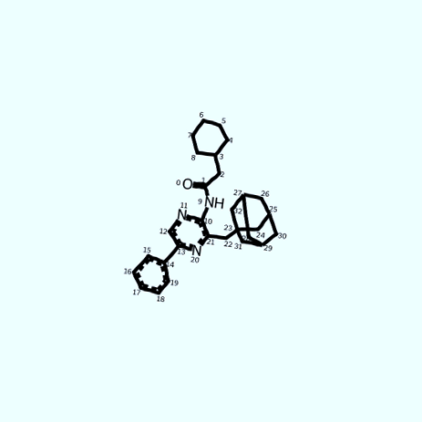 O=C(CC1CCCCC1)Nc1ncc(-c2ccccc2)nc1CC12CC3CC(CC(C3)C1)C2